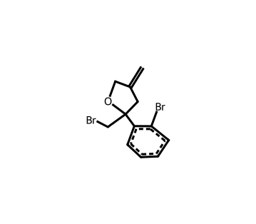 C=C1COC(CBr)(c2ccccc2Br)C1